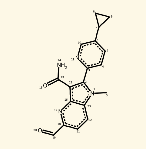 Cn1c(-c2ccc(C3CC3)cn2)c(C(N)=O)c2nc(C=O)ccc21